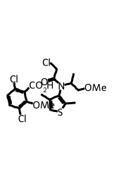 COCC(C)N(C(=O)CCl)c1c(C)csc1C.COc1c(Cl)ccc(Cl)c1C(=O)O